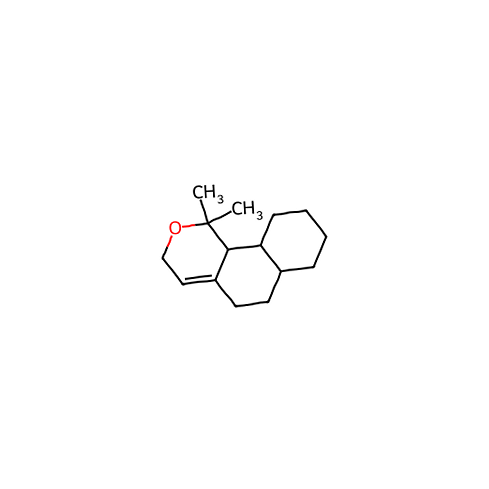 CC1(C)OCC=C2CCC3CCCCC3C21